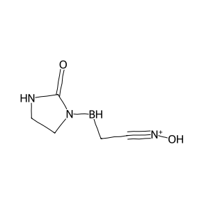 O=C1NCCN1BCC#[N+]O